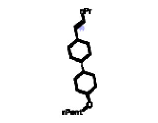 CCC/C=C/[C@H]1CC[C@H](C2CCC(OCCCCC)CC2)CC1